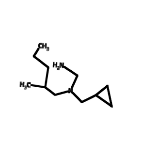 CCCC(C)CN(CN)CC1CC1